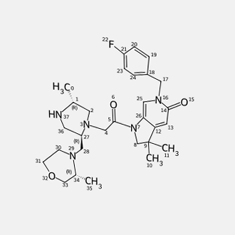 C[C@@H]1CN(CC(=O)N2CC(C)(C)c3cc(=O)n(Cc4ccc(F)cc4)cc32)[C@@H](CN2CCOC[C@H]2C)CN1